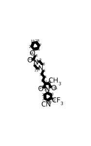 CC1=C(CCCCN2CCN(C(=O)COc3ccccc3)CC2)C(=O)N(c2ccc(C#N)c(C(F)(F)F)c2)C1=O